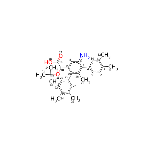 Cc1ccc(-c2c(N)cc(C(OC(C)(C)C)C(=O)O)c(-c3ccc(C)c(C)c3)c2C)cc1C